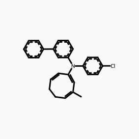 CC1=CCC/C=C\C(N(c2ccc(Cl)cc2)c2cccc(-c3ccccc3)c2)=C/1